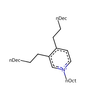 CCCCCCCCCCCCc1cc[n+](CCCCCCCC)cc1CCCCCCCCCCCC